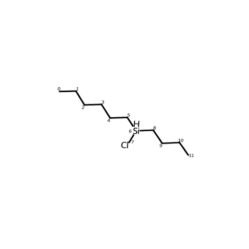 CCCCCC[SiH](Cl)CCCC